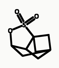 O=S1(=O)OC2CC34CC2C1(C3)C4